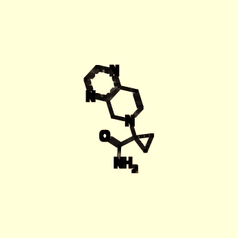 NC(=O)C1(N2C=Cc3nccnc3C2)CC1